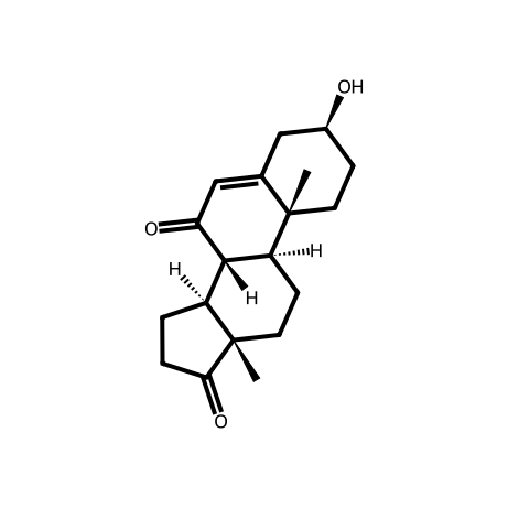 C[C@]12CC[C@H](O)CC1=CC(=O)[C@@H]1[C@@H]2CC[C@]2(C)C(=O)CC[C@@H]12